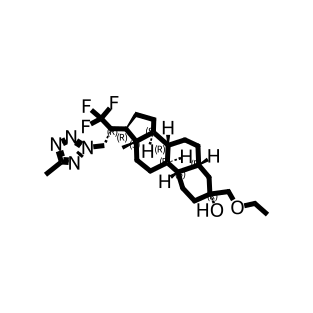 CCOC[C@@]1(O)CC[C@H]2[C@H](CC[C@@H]3[C@@H]2CC[C@]2(C)[C@@H]([C@H](Cn4nnc(C)n4)C(F)(F)F)CC[C@@H]32)C1